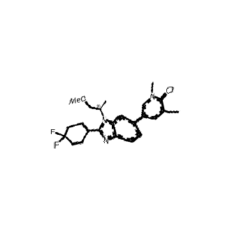 COC[C@@H](C)n1c(C2CCC(F)(F)CC2)nc2ccc(-c3cc(C)c(=O)n(C)c3)cc21